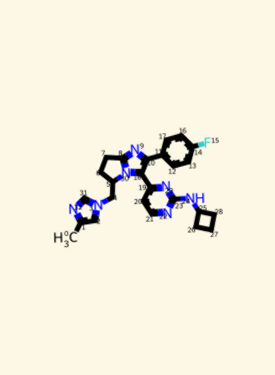 Cc1cn(CC2CCc3nc(-c4ccc(F)cc4)c(-c4ccnc(NC5CCC5)n4)n32)cn1